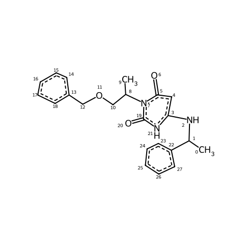 CC(Nc1cc(=O)n(C(C)COCc2ccccc2)c(=O)[nH]1)c1ccccc1